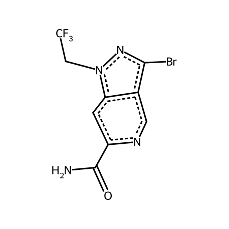 NC(=O)c1cc2c(cn1)c(Br)nn2CC(F)(F)F